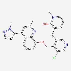 Cc1cc(-c2ccnn2C)c2cccc(OCc3c(Cl)cncc3Cc3cccn(C)c3=O)c2n1